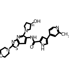 Cc1cc(-c2c[nH]c(C(=O)Nc3cc4sc(N5CCOCC5)nc4nc3N3CC[C@@H](O)C3)c2)ccn1